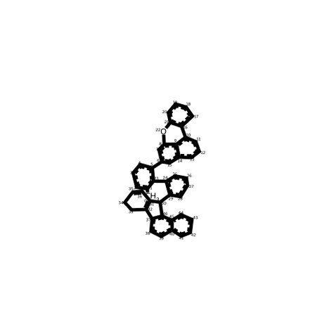 Cc1cccc(-c2cc3c4c(cccc4c2)-c2ccccc2O3)c1-c1ccccc1C1C2=C(CCC=C2)c2ccc3ccccc3c21